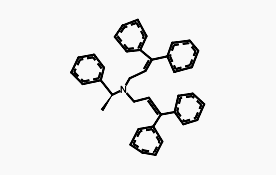 C[C@@H](c1ccccc1)N(CC=C(c1ccccc1)c1ccccc1)CC=C(c1ccccc1)c1ccccc1